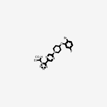 CCC(C(=O)O)n1nnnc1-c1cnc(N2CCC(Oc3cc(F)ccc3Br)CC2)cn1